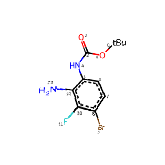 CC(C)(C)OC(=O)Nc1ccc(Br)c(F)c1N